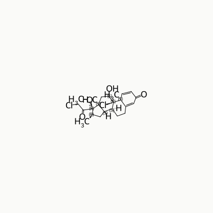 CO[C@]1(C(=O)CCl)[C@H](C)C[C@H]2[C@@H]3CCC4=CC(=O)C=C[C@]4(C)[C@@]3(Cl)[C@@H](O)C[C@@]21C